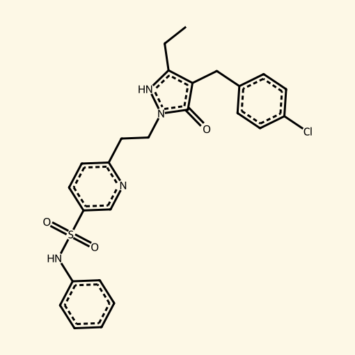 CCc1[nH]n(CCc2ccc(S(=O)(=O)Nc3ccccc3)cn2)c(=O)c1Cc1ccc(Cl)cc1